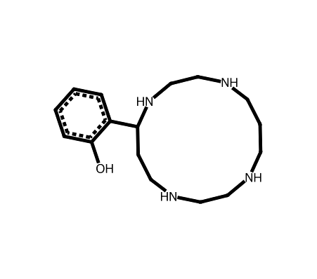 Oc1ccccc1C1CCNCCNCCCNCCN1